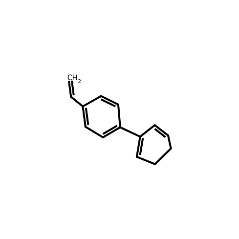 C=Cc1ccc(C2=CCCC=C2)cc1